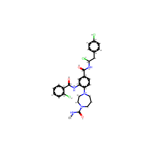 CCNC(=O)N1CCCN(c2ccc(C(=O)NC(Cl)Cc3ccc(Cl)cc3)cc2NC(=O)c2ccccc2Cl)CC1